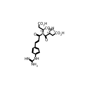 N=C(N)Nc1ccc(C=CC(=O)N(C(=O)[C@@H](N)CC(=O)O)[C@@H](CC(=O)O)C(=O)O)cc1